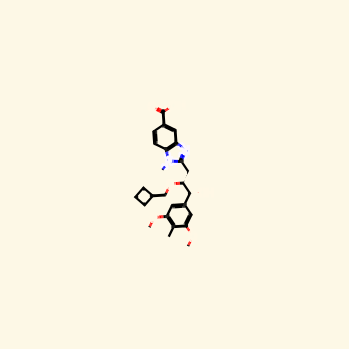 COc1cc([C@@H](O)[C@H](Cc2nc3cc(C(=O)O)ccc3n2C)OCC2CCC2)cc(OC)c1C